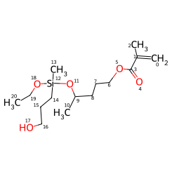 C=C(C)C(=O)OCCCC(C)O[Si](C)(CCCO)OCC